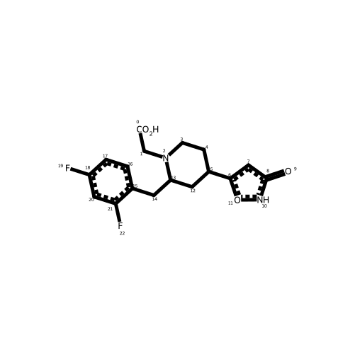 O=C(O)CN1CCC(c2cc(=O)[nH]o2)CC1Cc1ccc(F)cc1F